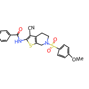 COc1ccc(S(=O)(=O)N2CCc3c(sc(NC(=O)c4ccccc4)c3C#N)C2)cc1